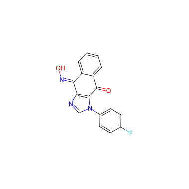 O=C1c2ccccc2/C(=N\O)c2ncn(-c3ccc(F)cc3)c21